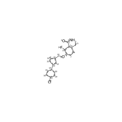 NC(=O)c1c(F)ccc(OCc2cc(-c3ccc(Cl)cc3)cs2)c1F